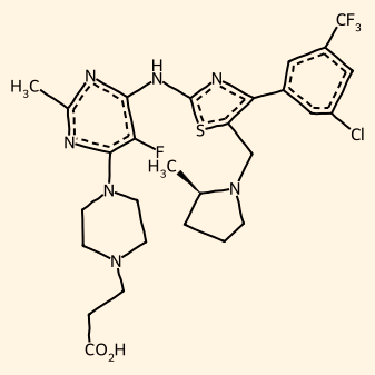 Cc1nc(Nc2nc(-c3cc(Cl)cc(C(F)(F)F)c3)c(CN3CCC[C@H]3C)s2)c(F)c(N2CCN(CCC(=O)O)CC2)n1